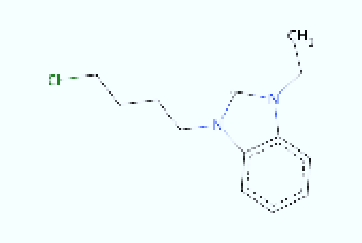 CCN1[CH]N(CCCCCl)c2ccccc21